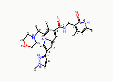 Cc1cc(C)c(CNC(=O)c2cc3cc(-c4ccn(C)n4)cn3c(C(C)N3CCOCC3)c2C)c(=O)[nH]1